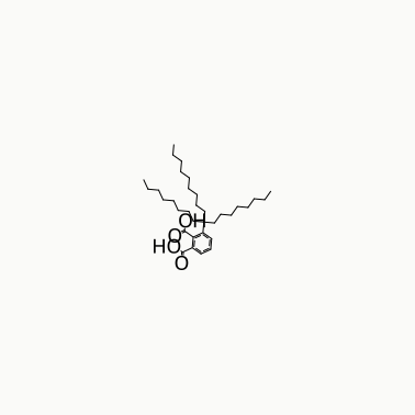 CCCCCCCCCC(CCCCCCCC)(CCCCCCCC)c1cccc(C(=O)O)c1C(=O)O